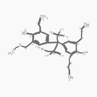 CCc1cc(C(c2cc(CCO)c(O)c(CCO)c2)(C(F)(F)F)C(F)(F)F)cc(COC)c1O